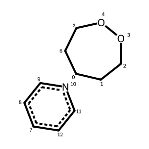 C1CCOOCC1.c1ccncc1